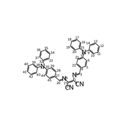 N#CC(/N=C/c1ccc(N(c2ccccc2)c2ccccc2)cc1)=C(C#N)/N=C/c1ccc(N(c2ccccc2)c2ccccc2)cc1